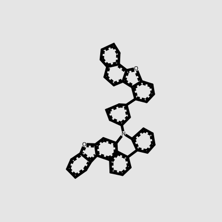 c1ccc(-c2ccccc2N(c2cccc(-c3cccc4oc5c6ccccc6ccc5c34)c2)c2ccc3c(c2)oc2ccccc23)cc1